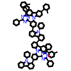 Cc1cccc(-c2ccc3c4c(-c5cccc6c5c5cccc(-c7ccc(-n8c9ccc(-c%10ccccc%10C)cc9c9cc(-c%10ccccc%10C)ccc98)c(-c8nc(-c9ccccc9)nc(-c9ccccc9)n8)c7)c5n6-c5ccccc5)cccc4n(-c4ccc(-c5cccc6c7ccccc7n(-c7ccccc7)c56)cc4-c4nc(-c5ccccc5)nc(-c5ccccc5)n4)c3c2)c1